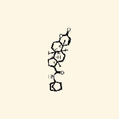 C[C@]12C=CC(=O)OC1CC[C@@H]1[C@H]2CC[C@]2(C)C(C(=O)NC34CCC(CC3)C4)CC[C@@H]12